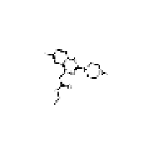 CCOC(=O)Cc1nc(N2CCN(C)CC2)nc2ccc(C)cc12